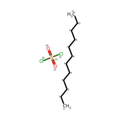 CCCCCCCCCCCC.O=S(=O)(Cl)Cl